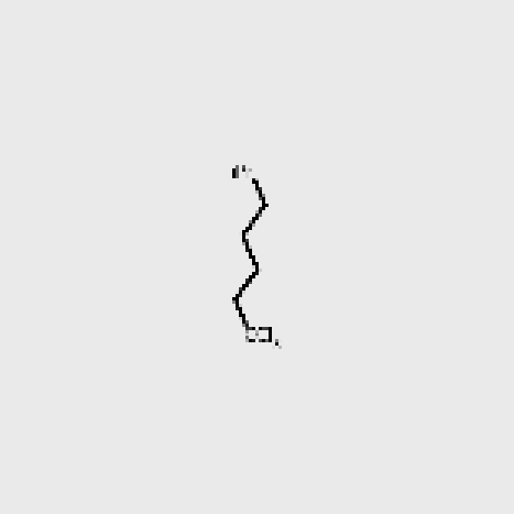 CC(C)CCCCC(Cl)(Cl)Cl